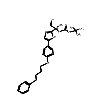 CC(C)(C)OC(=O)N[C@@](C)(CO)c1ncc(-c2ccc(OCCCCc3ccccc3)cc2)[nH]1